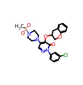 CS(=O)(=O)N1CCN(c2cnn(-c3cccc(Cl)c3)c(=O)c2OC2COc3ccccc3C2)CC1